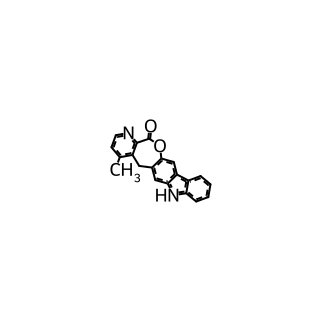 Cc1ccnc2c1Cc1cc3[nH]c4ccccc4c3cc1OC2=O